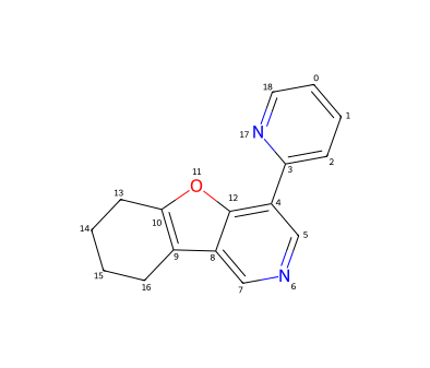 c1ccc(-c2cncc3c4c(oc23)CCCC4)nc1